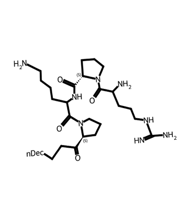 CCCCCCCCCCCCC(=O)[C@@H]1CCCN1C(=O)C(CCCCN)NC(=O)[C@@H]1CCCN1C(=O)C(N)CCCNC(=N)N